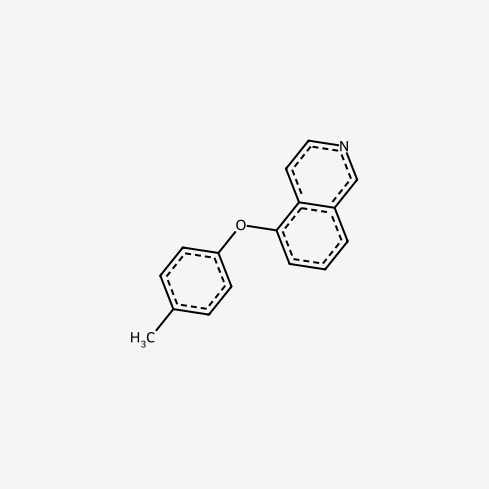 Cc1ccc(Oc2cccc3cnccc23)cc1